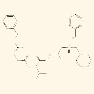 CC(C)[C@H](NC(=O)[C@H](C)NC(=O)OCc1ccccc1)C(=O)NC[C@H](O)CP(=O)(CC1CCCCC1)OCc1ccccc1